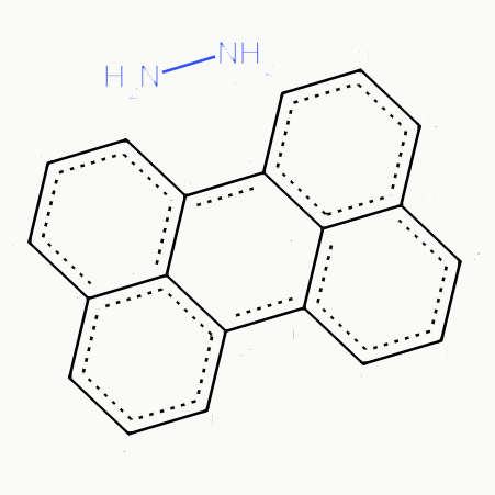 NN.c1cc2cccc3c4cccc5cccc(c(c1)c23)c54